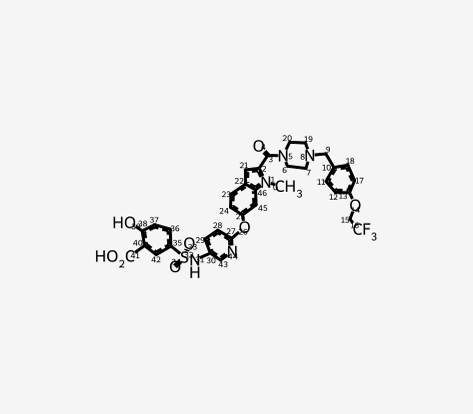 Cn1c(C(=O)N2CCN(Cc3ccc(OCC(F)(F)F)cc3)CC2)cc2ccc(Oc3ccc(NS(=O)(=O)c4ccc(O)c(C(=O)O)c4)cn3)cc21